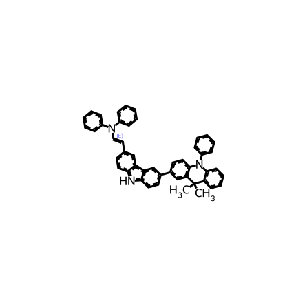 CC1(C)c2ccccc2N(c2ccccc2)c2ccc(-c3ccc4[nH]c5ccc(/C=C/N(c6ccccc6)c6ccccc6)cc5c4c3)cc21